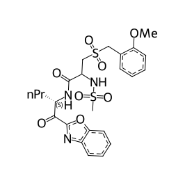 CCC[C@H](NC(=O)C(CS(=O)(=O)Cc1ccccc1OC)NS(C)(=O)=O)C(=O)c1nc2ccccc2o1